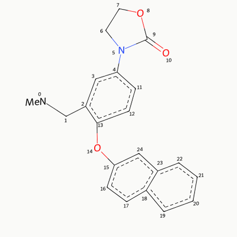 CNCc1cc(N2CCOC2=O)ccc1Oc1ccc2ccccc2c1